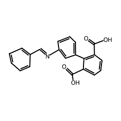 O=C(O)c1cccc(C(=O)O)c1-c1cccc(N=Cc2ccccc2)c1